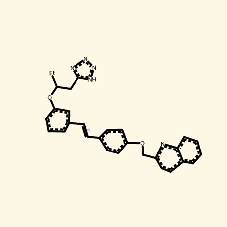 CCC(Cc1nnn[nH]1)Oc1cccc(/C=C/c2ccc(OCc3ccc4ccccc4n3)cc2)c1